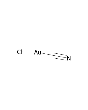 N#[C][Au][Cl]